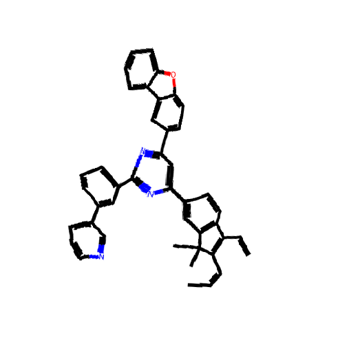 C=CC1=C(/C=C\C)C(C)(C)c2cc(-c3cc(-c4ccc5oc6ccccc6c5c4)nc(-c4cccc(-c5cccnc5)c4)n3)ccc21